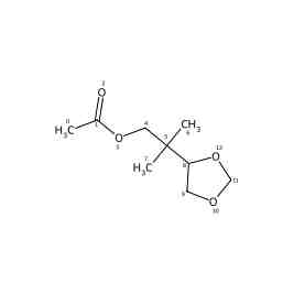 CC(=O)OCC(C)(C)C1COCO1